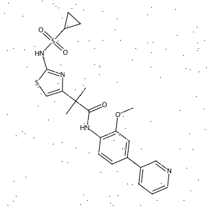 COc1cc(-c2cccnc2)ccc1NC(=O)C(C)(C)c1csc(NS(=O)(=O)C2CC2)n1